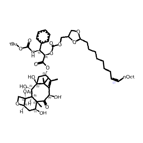 CCCCCCCC/C=C\CCCCCCCC1OCC(COC(=O)O[C@@H](C(=O)O[C@H]2C[C@@]3(O)[C@@H](O)[C@@H]4[C@]5(OC(C)=O)CO[C@@H]5C[C@H](O)[C@@]4(C)C(=O)[C@H](O)C(=C2C)C3(C)C)[C@@H](NC(=O)OC(C)(C)C)c2ccccc2)O1